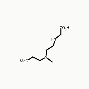 COCCN(C)CCNCC(=O)O